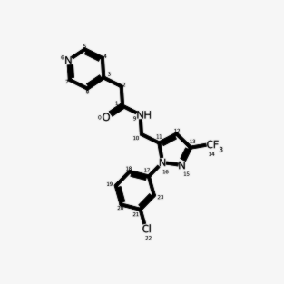 O=C(Cc1ccncc1)NCc1cc(C(F)(F)F)nn1-c1cccc(Cl)c1